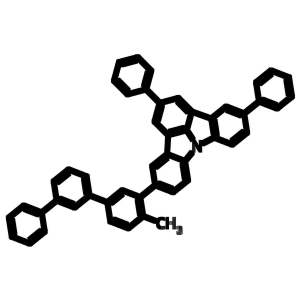 Cc1ccc(-c2cccc(-c3ccccc3)c2)cc1-c1ccc2c(c1)c1cc(-c3ccccc3)cc3c4cc(-c5ccccc5)ccc4n2c31